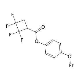 CCOc1ccc(OC(=O)C2CC(F)(F)C2(F)F)cc1